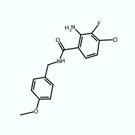 COc1ccc(CNC(=O)c2ccc(Cl)c(F)c2N)cc1